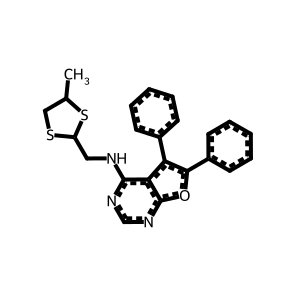 CC1CSC(CNc2ncnc3oc(-c4ccccc4)c(-c4ccccc4)c23)S1